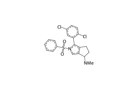 CNC1CCc2c1cn(S(=O)(=O)c1ccccc1)c2-c1cc(Cl)ccc1Cl